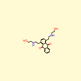 O=C1c2ccccc2C(=O)c2c(CCNCCO)ccc(CCNCCO)c21